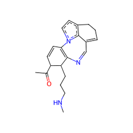 CNCCCC1C2=C(C=CC1C(C)=O)n1ccc3c1C(=CCC3)C=N2